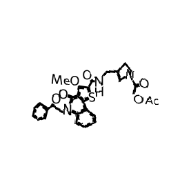 COc1c(C(=O)NCC2CCN(C(=O)COC(C)=O)C2)sc2c1c(=O)n(CC(=O)c1ccccc1)c1ccccc21